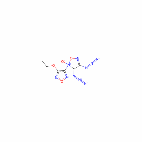 CCOc1nonc1[N+]1([O-])ON=C(N=[N+]=[N-])C1N=[N+]=[N-]